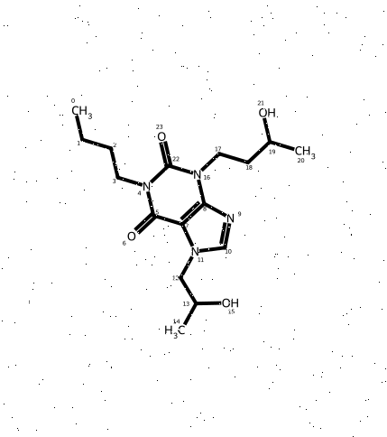 CCCCn1c(=O)c2c(ncn2CC(C)O)n(CCC(C)O)c1=O